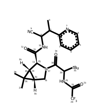 CC(c1ccccn1)C(C#N)NC(=O)[C@@H]1[C@@H]2[C@H](CN1C(=O)C(NC(=O)C(F)(F)F)C(C)(C)C)C2(C)C